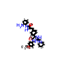 Nc1ccccc1NC(=O)C=Cc1ccc(C(NCCN2CCCCC2)C(=O)Nc2ccc(OC(F)(F)F)cc2)cc1